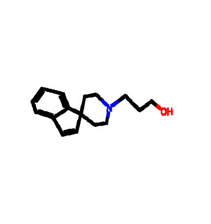 OCCCN1CCC2(C=Cc3ccccc32)CC1